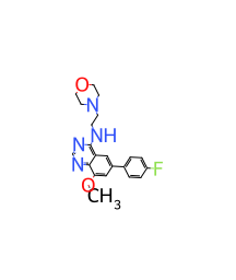 COc1cc(-c2ccc(F)cc2)cc2c(NCCN3CCOCC3)ncnc12